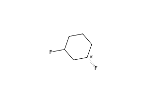 FC1CCC[C@H](F)C1